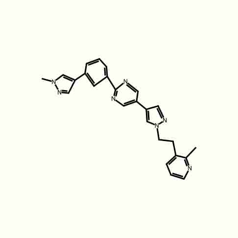 Cc1ncccc1CCn1cc(-c2cnc(-c3cccc(-c4cnn(C)c4)c3)nc2)cn1